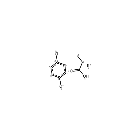 CCC(=O)O.[K+].[O-]c1ccc(Cl)cc1